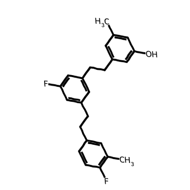 Cc1cc(O)cc(CCc2cc(F)cc(CCc3ccc(F)c(C)c3)c2)c1